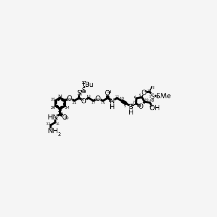 CSS[C@H](C)O[C@@H]1C[C@H](BC#CCNC(=O)COCCOC(COc2cccc(C(=O)NCCN)c2)SSC(C)(C)C)OC1CO